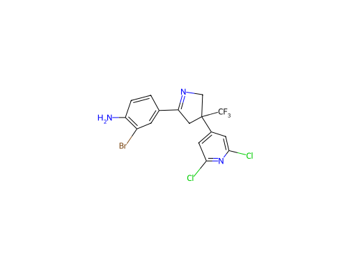 Nc1ccc(C2=NCC(c3cc(Cl)nc(Cl)c3)(C(F)(F)F)C2)cc1Br